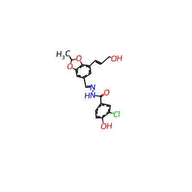 CC1Oc2cc(/C=N/NC(=O)c3ccc(O)c(Cl)c3)cc(/C=C/CO)c2O1